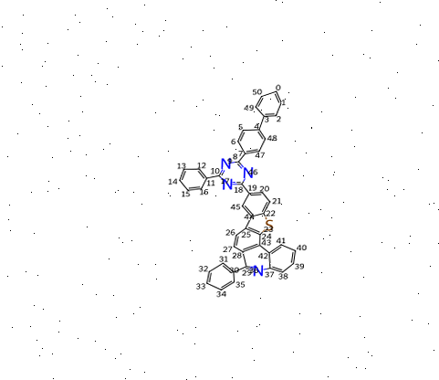 c1ccc(-c2ccc(-c3nc(-c4ccccc4)nc(-c4ccc5sc6c(ccc7c(-c8ccccc8)nc8ccccc8c76)c5c4)n3)cc2)cc1